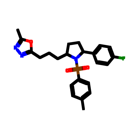 Cc1ccc(S(=O)(=O)N2C(CCCc3nnc(C)o3)CCC2c2ccc(F)cc2)cc1